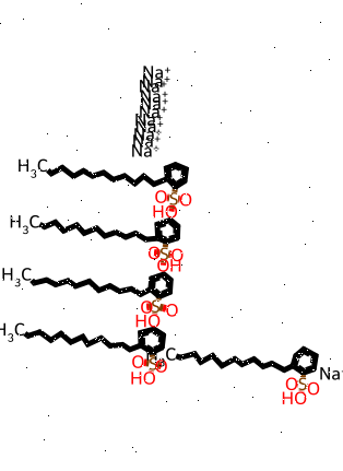 CCCCCCCCCCCCc1ccccc1S(=O)(=O)O.CCCCCCCCCCCCc1ccccc1S(=O)(=O)O.CCCCCCCCCCCCc1ccccc1S(=O)(=O)O.CCCCCCCCCCCCc1ccccc1S(=O)(=O)O.CCCCCCCCCCCCc1ccccc1S(=O)(=O)O.[Na+].[Na+].[Na+].[Na+].[Na+].[Na+].[Na+].[Na+].[Na+].[Na+].[Na+].[Na+]